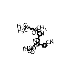 CCOP(=O)(O)OCn1cc(-c2cccc(C#N)c2)c2cc(-c3cncc(N(C)C(=O)C=CCN(C)C)c3)cnc21